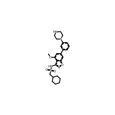 COc1cc(-c2cccc(N3CCNCC3)c2)cc2onc(NS(=O)(=O)CC3CCCCC3)c12